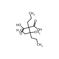 CCCC(C)(CC)C(CCC)(C(=O)O)C(=O)O